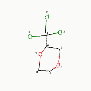 ClC(Cl)(Cl)C1COCCO1